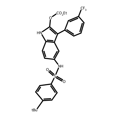 CCOC(=O)Oc1[nH]c2ccc(NS(=O)(=O)c3ccc(C(C)(C)C)cc3)cc2c1-c1cccc(C(F)(F)F)c1